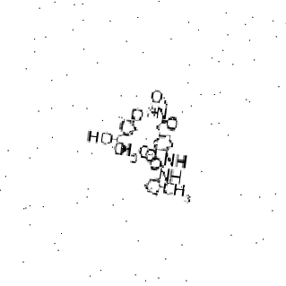 COc1cc(CC(=O)N2CCOC[C@H]2COc2ccc(C(=O)O)cc2)ccc1NC(=O)Nc1ccccc1C